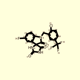 O=C1NC(=O)C2(N1)C(=O)N(Cc1cc(C(F)(F)F)ccc1Cl)c1ccc(F)cc12